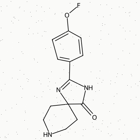 O=C1NC(c2ccc(OF)cc2)=NC12CCNCC2